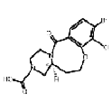 O=C(O)N1CCN2C(=O)c3ccc(Br)c(Cl)c3OCC[C@H]2C1